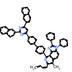 C=C/C=C\c1nc(-c2ccc(-c3ccc(-c4cc(-c5ccc6ccccc6c5)nc(-c5ccc6ccccc6c5)n4)cc3)cc2)c2c(ccc3c2nc(-c2ccccc2)n3-c2ccccc2)c1C